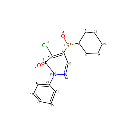 O=c1c(Cl)c([S+]([O-])C2CCCCC2)cnn1-c1ccccc1